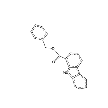 O=C(OCc1ccccc1)c1cccc2c1[nH]c1ccccc12